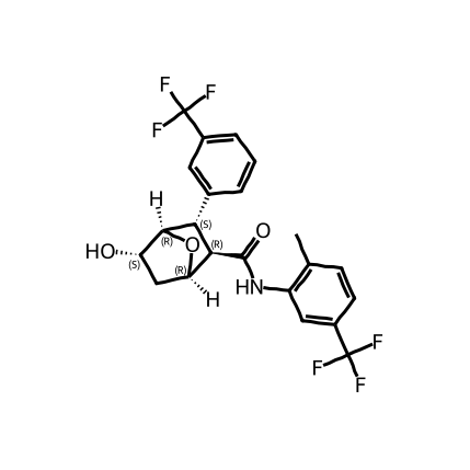 Cc1ccc(C(F)(F)F)cc1NC(=O)[C@@H]1[C@@H](c2cccc(C(F)(F)F)c2)[C@H]2O[C@@H]1C[C@@H]2O